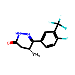 C[C@@H]1CC(=O)NN=C1c1ccc(F)c(C(F)(F)F)c1